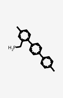 Cc1ccc(-c2ccc(-c3ccc(C)cc3CP)cc2)cc1